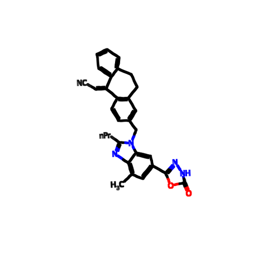 CCCc1nc2c(C)cc(-c3n[nH]c(=O)o3)cc2n1Cc1ccc2c(c1)CCc1ccccc1C2=CC#N